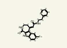 O=C(C=C1CCNC(=O)c2[nH]c3ccc(F)cc3c21)NCCc1ccccn1